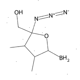 BC1OC(CO)(N=[N+]=[N-])C(C)C1C